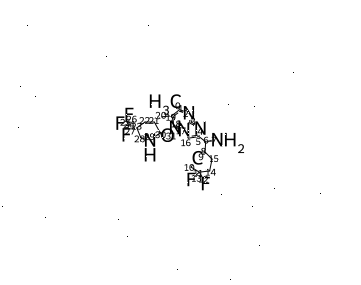 Cc1nc2nc([C@@H](N)C3CCC(F)(F)CC3)cn2nc1C[C@H]1C[C@@H](C(F)(F)F)CNC1=O